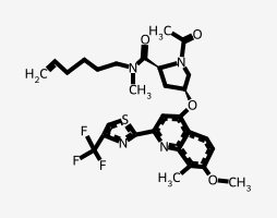 C=CCCCCN(C)C(=O)[C@@H]1C[C@H](Oc2cc(-c3nc(C(F)(F)F)cs3)nc3c(C)c(OC)ccc23)CN1C(C)=O